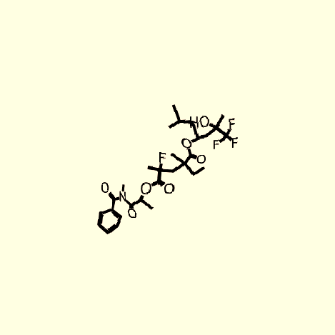 CCC(C)(CC(C)(F)C(=O)OC(C)C(=O)N(C)C(=O)c1ccccc1)C(=O)OC(CC(C)C)CC(C)(O)C(F)(F)F